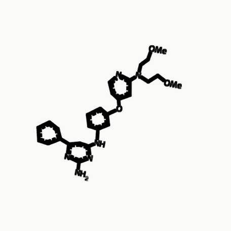 COCCN(CCOC)c1cc(Oc2cccc(Nc3cc(-c4ccccc4)nc(N)n3)c2)ccn1